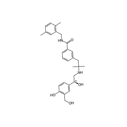 Cc1ccc(C)c(CNC(=O)c2cccc(CC(C)(C)NC[C@@H](O)c3ccc(O)c(CO)c3)c2)c1